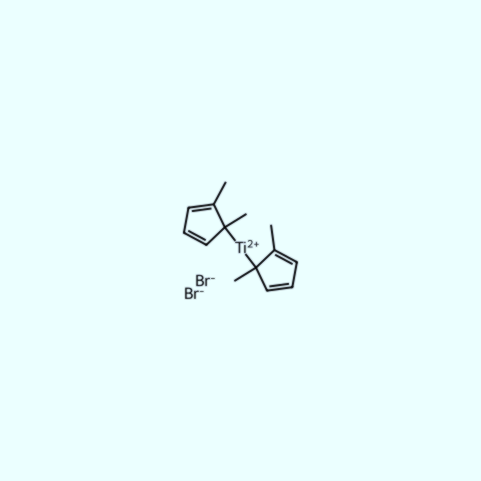 CC1=CC=C[C]1(C)[Ti+2][C]1(C)C=CC=C1C.[Br-].[Br-]